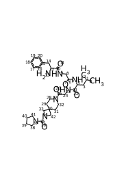 CC(C)CC(NC(=O)CNC(=O)C(N)Cc1ccccc1)C(=O)NCC(=O)N1CCC2(CC1)CN(C(=O)N1CCCC1)C2